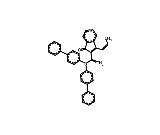 C=C(C1=C(/C=C\C)c2ccccc2C1=O)N(c1ccc(-c2ccccc2)cc1)c1ccc(-c2ccccc2)cc1